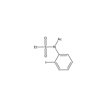 CCS(=O)(=O)N(C(C)=O)c1ccccc1I